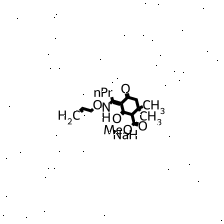 C=CCONC(CCC)=C1C(=O)CC(C)(C)C(C(=O)OC)C1=O.[NaH]